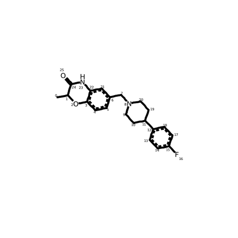 CC1Oc2ccc(CN3CCC(c4ccc(F)cc4)CC3)cc2NC1=O